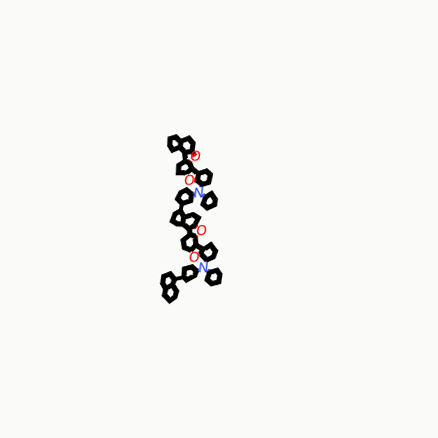 c1ccc(N(c2cccc(-c3cccc4c3ccc3oc5c(ccc6oc7c(N(c8ccccc8)c8ccc(-c9cccc%10ccccc9%10)cc8)cccc7c65)c34)c2)c2cccc3c2oc2ccc4c(oc5ccc6ccccc6c54)c23)cc1